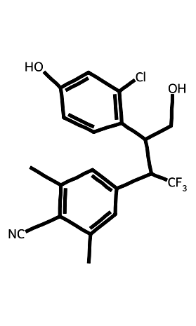 Cc1cc(C(C(CO)c2ccc(O)cc2Cl)C(F)(F)F)cc(C)c1C#N